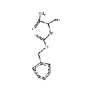 CCC(C)C(NC(=O)OCc1ccccc1)C(N)=O